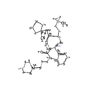 CC1(CCC(/N=c2\[nH]c(=O)n(CCCN3CCCCC3)c3ccccc23)C(=O)NC2(C#N)CCCC2)CC1